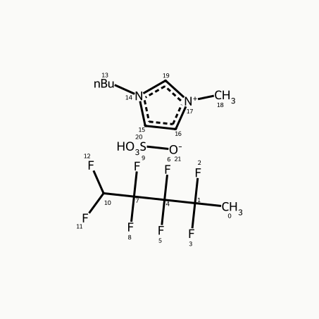 CC(F)(F)C(F)(F)C(F)(F)C(F)F.CCCCn1cc[n+](C)c1.O=S(=O)([O-])O